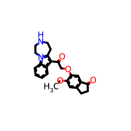 COc1cc2c(cc1OCC(=O)c1c3n(c4ccccc14)CCNCC3)C(=O)CC2